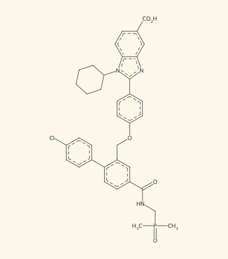 CP(C)(=O)CNC(=O)c1ccc(-c2ccc(Cl)cc2)c(COc2ccc(-c3nc4cc(C(=O)O)ccc4n3C3CCCCC3)cc2)c1